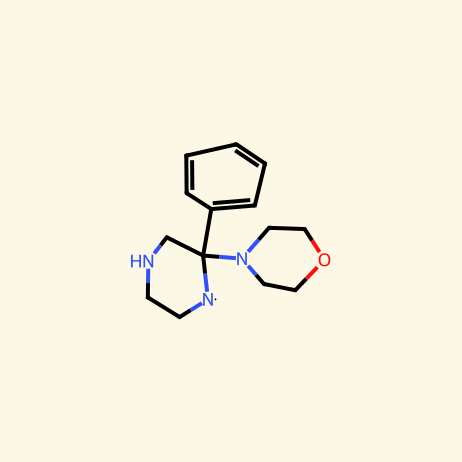 c1ccc(C2(N3CCOCC3)CNCC[N]2)cc1